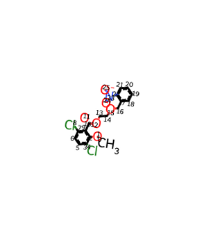 COc1c(Cl)ccc(Cl)c1C(=O)OCCOCc1ccccc1[N+](=O)[O-]